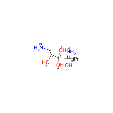 CC(C)C(N)(O)C(O)(O)C(O)CN